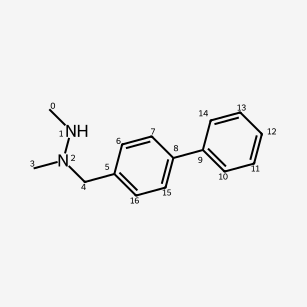 CNN(C)Cc1ccc(-c2ccccc2)cc1